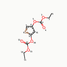 CCOC(=O)Oc1csc(OC(=O)OCC)c1